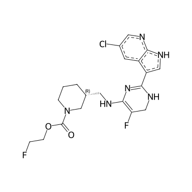 O=C(OCCF)N1CCC[C@H](CNC2=C(F)CNC(c3c[nH]c4ncc(Cl)cc34)=N2)C1